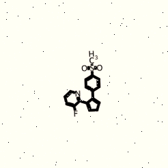 CS(=O)(=O)c1ccc(C2=CCC=C2c2ncccc2F)cc1